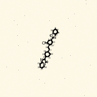 Clc1cc(-c2nc3ccccc3o2)ccc1C=Cc1ccc(-c2nc3ccccn3n2)cc1